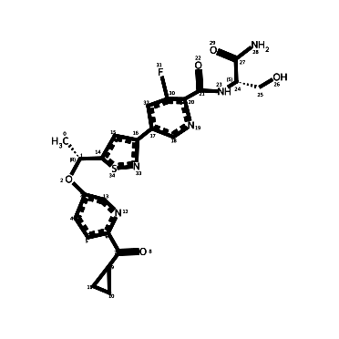 C[C@@H](Oc1ccc(C(=O)C2CC2)nc1)c1cc(-c2cnc(C(=O)N[C@@H](CO)C(N)=O)c(F)c2)ns1